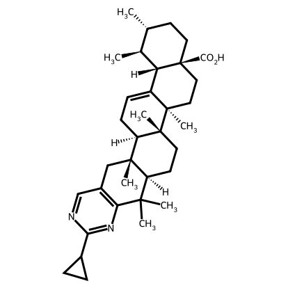 C[C@H]1[C@H](C)CC[C@]2(C(=O)O)CC[C@]3(C)C(=CC[C@@H]4[C@@]5(C)Cc6cnc(C7CC7)nc6C(C)(C)[C@@H]5CC[C@]43C)[C@H]12